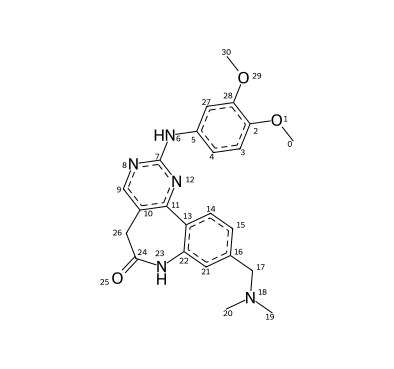 COc1ccc(Nc2ncc3c(n2)-c2ccc(CN(C)C)cc2NC(=O)C3)cc1OC